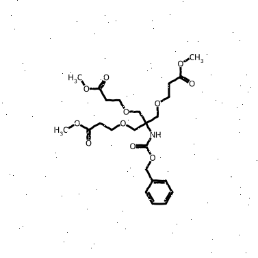 COC(=O)CCOCC(COCCC(=O)OC)(COCCC(=O)OC)NC(=O)OCc1ccccc1